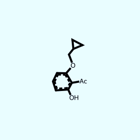 CC(=O)c1c(O)cccc1OCC1CC1